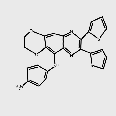 Nc1ccc(Nc2c3c(cc4nc(-c5cccs5)c(-c5cccs5)nc24)OCCO3)cc1